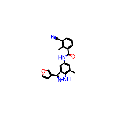 Cc1c(C#N)cccc1C(=O)Nc1cc(C)c2[nH]nc(-c3ccoc3)c2c1